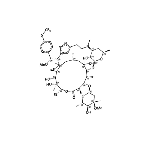 CC[C@H]1OC(=O)[C@H](C)[C@@H](O[C@H]2C[C@@](C)(OC)[C@@H](O)[C@H](C)O2)[C@H](C)[C@@H](O[C@@H]2O[C@H](C)C[C@H](N(C)CCc3cn([C@H](CF)[C@H](OC)c4ccc(SC(F)(F)F)cc4)nn3)[C@H]2O)[C@](C)(O)C[C@@H](C)CN(C)[C@H](C)[C@@H](O)[C@]1(C)O